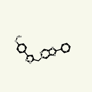 CCCCOc1ccc(-c2cc(Cn3cc4nc(-c5ccccc5)nc-4cn3)on2)cc1